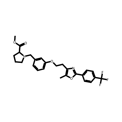 COC(=O)C1CCCN1Cc1cccc(OCCc2nc(-c3ccc(C(F)(F)F)cc3)oc2C)c1